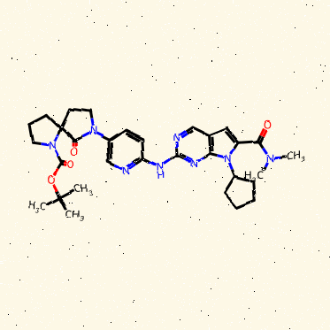 CN(C)C(=O)c1cc2cnc(Nc3ccc(N4CCC5(CCCN5C(=O)OC(C)(C)C)C4=O)cn3)nc2n1C1CCCC1